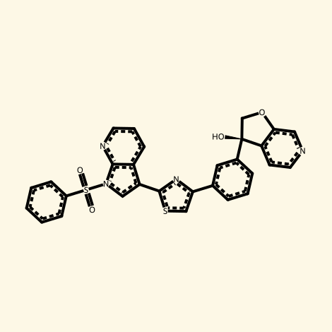 O=S(=O)(c1ccccc1)n1cc(-c2nc(-c3cccc([C@]4(O)COc5cnccc54)c3)cs2)c2cccnc21